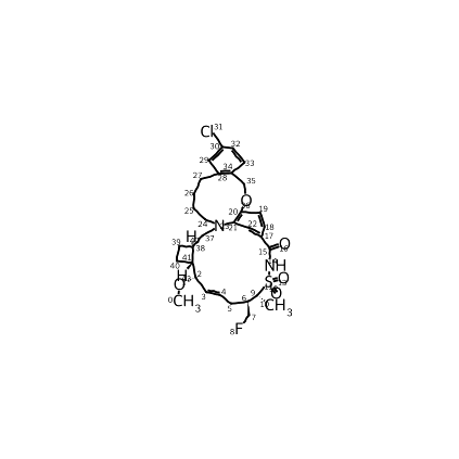 CO[C@H]1/C=C/C[C@H](CF)[C@@H](C)S(=O)(=O)NC(=O)c2ccc3c(c2)N(CCCCc2cc(Cl)ccc2CO3)C[C@@H]2CC[C@H]21